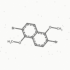 COc1c(Br)ccc2c(OC)c(Br)ccc12